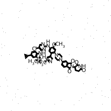 COc1cc(N2CCN(c3ccc4c(c3)C(=O)N(C3CCC(=O)NC3=O)C4=O)CC2)c(-c2cnn(C)c2)cc1Nc1ncc(Cl)c(Nc2ccc(C3CC3)cc2P(C)(C)=O)n1